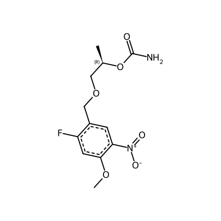 COc1cc(F)c(COC[C@@H](C)OC(N)=O)cc1[N+](=O)[O-]